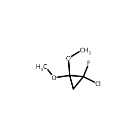 COC1(OC)CC1(F)Cl